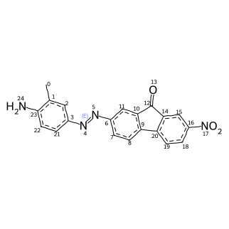 Cc1cc(/N=N/c2ccc3c(c2)C(=O)c2cc([N+](=O)[O-])ccc2-3)ccc1N